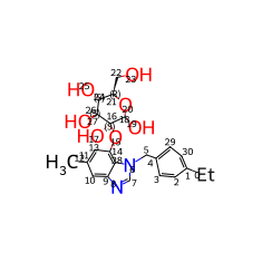 CCc1ccc(Cn2cnc3cc(C)cc(O[C@]4(O)C(O)O[C@H](CO)[C@@H](O)[C@@H]4O)c32)cc1